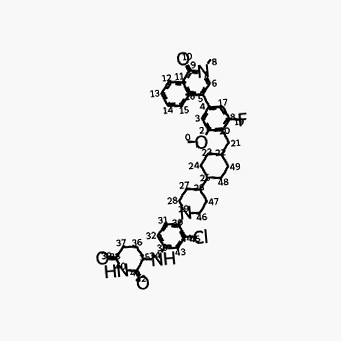 COc1cc(-c2cn(C)c(=O)c3ccccc23)cc(F)c1CC1CCC(C2CCN(c3ccc(NC4CCC(=O)NC4=O)cc3Cl)CC2)CC1